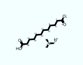 CN(C)C.O=C([O-])CCCCCCCCCCC(=O)O.[H+]